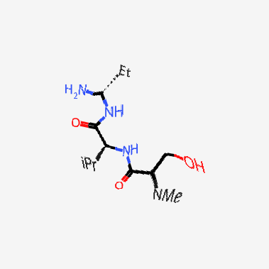 CC[C@@H](N)NC(=O)[C@@H](NC(=O)C(CO)NC)C(C)C